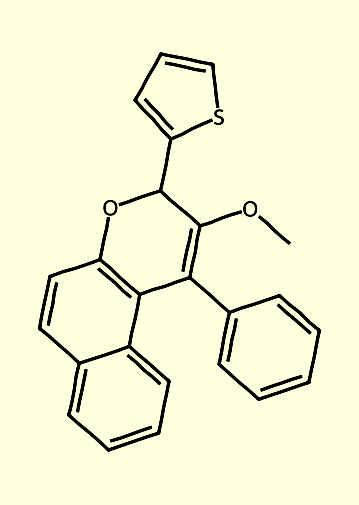 COC1=C(c2ccccc2)c2c(ccc3ccccc23)OC1c1cccs1